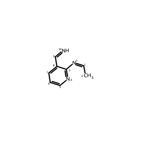 C/C=N\c1ncccc1C=N